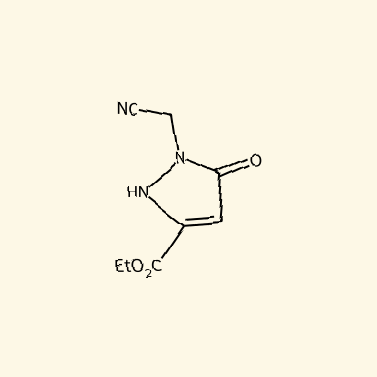 CCOC(=O)c1cc(=O)n(CC#N)[nH]1